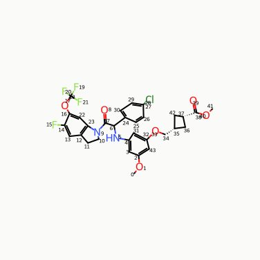 COc1cc(NC(C(=O)N2CCc3cc(F)c(OC(F)(F)F)cc32)c2ccc(Cl)cc2)cc(OC[C@H]2C[C@@H](C(=O)OC)C2)c1